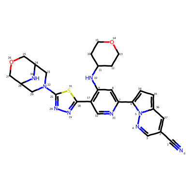 N#Cc1cnn2c(-c3cc(NC4CCOCC4)c(-c4nnc(N5CC6COCC(C5)N6)s4)cn3)ccc2c1